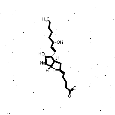 CCCCC[C@H](O)/C=C/[C@@H]1[C@H]2C/C(=C/CCCC(=O)[O-])O[C@@H]2C[C@H]1O.[Na+]